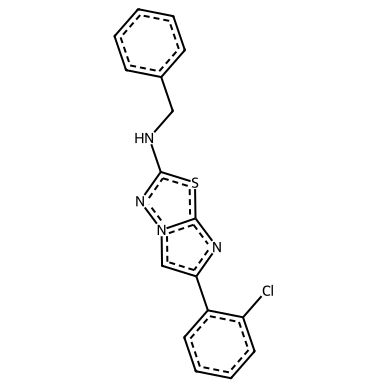 Clc1ccccc1-c1cn2nc(NCc3ccccc3)sc2n1